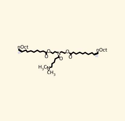 CCCCCCCC/C=C\CCCCCCCC(=O)OCCN(CCOC(=O)CCCCCCC/C=C\CCCCCCCC)C(=O)CCCCN(C)C